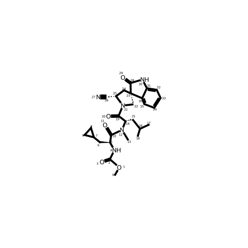 COC(=O)N[C@@H](CC1CC1)C(=O)N(C)[C@@H](CC(C)C)C(=O)N1C[C@]2(C[C@H]1C#N)C(=O)Nc1ccccc12